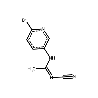 C/C(=N/C#N)Nc1ccc(Br)nc1